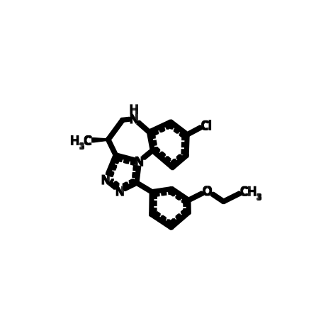 CCOc1cccc(-c2nnc3n2-c2ccc(Cl)cc2NC[C@@H]3C)c1